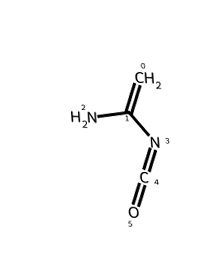 C=C(N)N=C=O